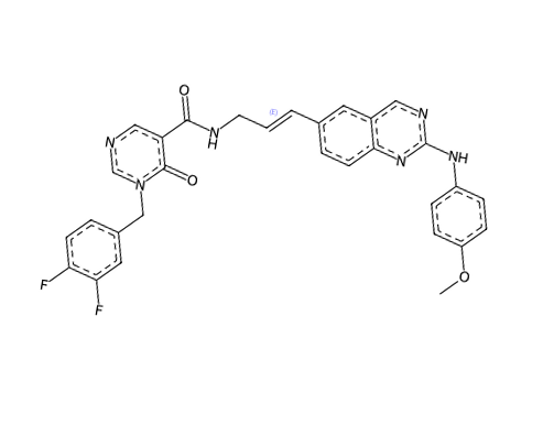 COc1ccc(Nc2ncc3cc(/C=C/CNC(=O)c4cncn(Cc5ccc(F)c(F)c5)c4=O)ccc3n2)cc1